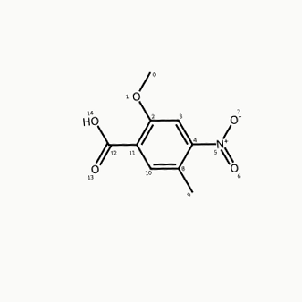 COc1cc([N+](=O)[O-])c(C)cc1C(=O)O